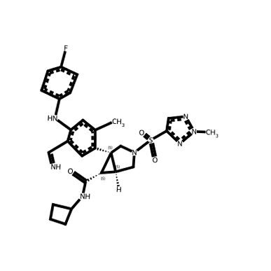 Cc1cc(Nc2ccc(F)cc2)c(C=N)cc1[C@]12CN(S(=O)(=O)c3cnn(C)n3)C[C@H]1[C@@H]2C(=O)NC1CCC1